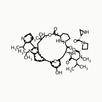 CCn1c(-c2cccnc2C(C)C)c2c3cc(ccc31)-c1cc(O)cc(c1)C[C@H](NC(=O)[C@H](C(C)C)N(C)C(=O)[C@H]1CCN1C(=O)[C@@H]1CN1)C(=O)N1CCC[C@H](N1)C(=O)OCC(C)(C)C2